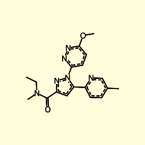 CCN(C)C(=O)c1cc(-c2ccc(C)cn2)n(-c2ccc(OC)nn2)n1